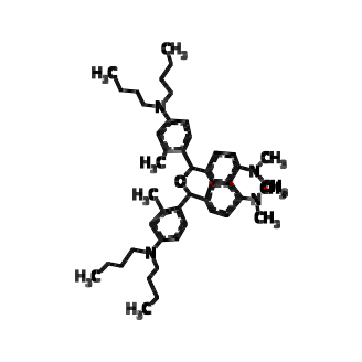 CCCCN(CCCC)c1ccc(C(OC(c2ccc(N(C)C)cc2)c2ccc(N(CCCC)CCCC)cc2C)c2ccc(N(C)C)cc2)c(C)c1